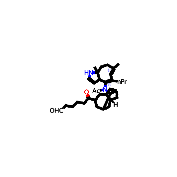 CCCC1=C(\N(C(C)=O)C2C3CC(C(=O)CCCCC=O)CC4CC2C[C@@H]4C3)C2C=CNC2(C)CC\C(C)=C\1